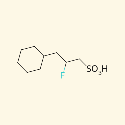 O=S(=O)(O)CC(F)CC1CCCCC1